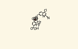 CCC(c1cn(Cc2ccc3c(Cl)cc(C#N)nc3c2)nn1)(c1cc(C(=O)O)ccc1[N+](=O)[O-])C(F)(F)F